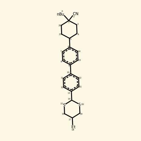 CCCCC1(C#N)CCC(c2ccc(-c3ccc(C4SCC(CC)CS4)cc3)cc2)CC1